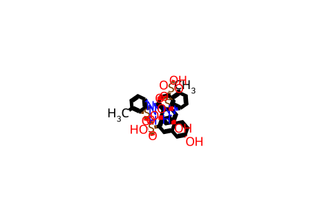 Cc1ccc2c(NC(=O)Nc3c4ccc(C)c3S(=O)(=O)N4c3cc(S(=O)(=O)O)cc4cc(O)ccc34)c1S(=O)(=O)N2c1cc(S(=O)(=O)O)cc2cc(O)ccc12